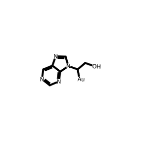 OC[CH]([Au])n1cnc2cncnc21